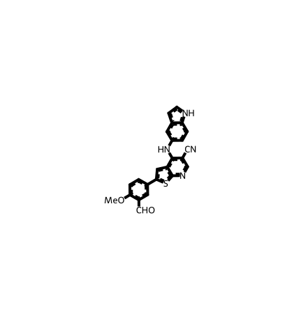 COc1ccc(-c2cc3c(Nc4ccc5[nH]ccc5c4)c(C#N)cnc3s2)cc1C=O